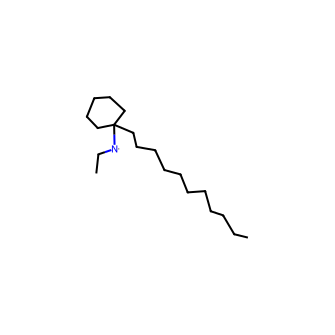 CCCCCCCCCCCC1([N]CC)CCCCC1